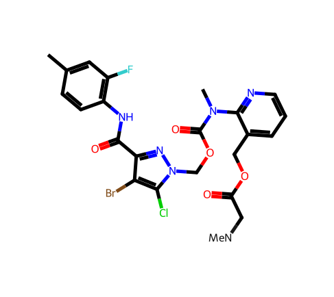 CNCC(=O)OCc1cccnc1N(C)C(=O)OCn1nc(C(=O)Nc2ccc(C)cc2F)c(Br)c1Cl